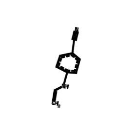 C=CNc1ccc(C#N)cc1